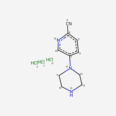 Cl.Cl.Cl.N#Cc1ccc(N2CCNCC2)cn1